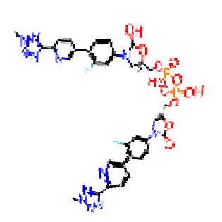 Cn1nnc(-c2ccc(-c3ccc(N4C[C@H](COP(=O)(O)OP(=O)(O)OC[C@H]5CN(c6ccc(-c7ccc(-c8nnn(C)n8)nc7)c(F)c6)C(O)O5)OC4=O)cc3F)cn2)n1